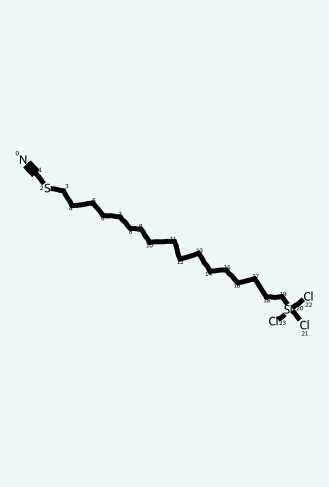 N#CSCCCCCCCCCCCCCCCCC[Si](Cl)(Cl)Cl